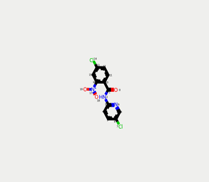 O=C(Nc1ccc(Cl)cn1)c1ccc(Cl)cc1[N+](=O)[O-]